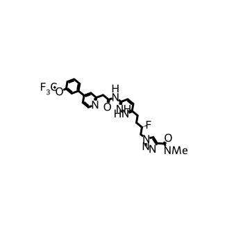 CNC(=O)c1cn(C[C@@H](F)CCC(=N)/C=C\C(=N)NC(=O)Cc2cc(-c3cccc(OC(F)(F)F)c3)ccn2)nn1